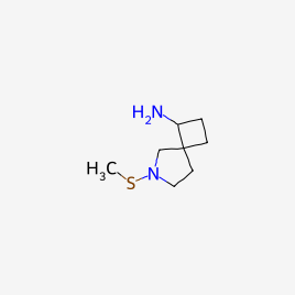 CSN1CCC2(CCC2N)C1